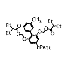 CCCCCc1cc(OCOC(=O)C(CC)CC)c(-c2cccc(C)c2)c(OCOC(=O)C(CC)CC)c1